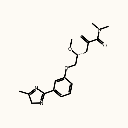 C=C(C[C@H](COc1cccc(C2=NCC(C)=N2)c1)OC)C(=O)N(C)C